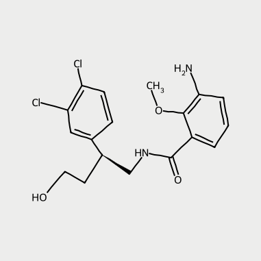 COc1c(N)cccc1C(=O)NC[C@@H](CCO)c1ccc(Cl)c(Cl)c1